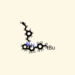 C#CCCc1cccc(CCN2c3nc(-c4ccc(CC(C)(C)C)cc4)ccc3C3CCC2C3)c1